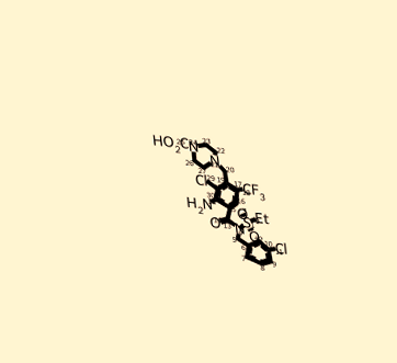 CCS(=O)(=O)N(Cc1cccc(Cl)c1)C(=O)c1cc(C(F)(F)F)c(CN2CCN(C(=O)O)CC2)c(Cl)c1N